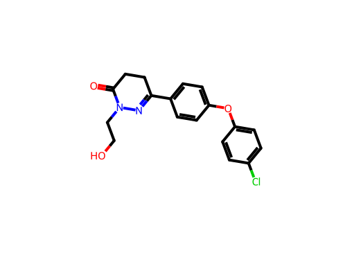 O=C1CCC(c2ccc(Oc3ccc(Cl)cc3)cc2)=NN1CCO